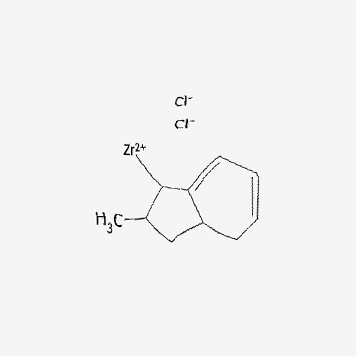 CC1CC2CC=CC=C2[CH]1[Zr+2].[Cl-].[Cl-]